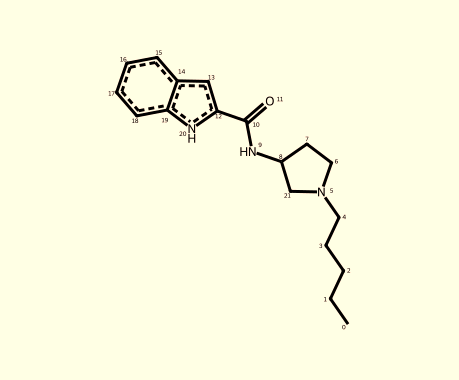 CCCCCN1CCC(NC(=O)c2cc3ccccc3[nH]2)C1